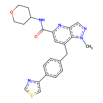 Cn1ncc2nc(C(=O)NC3CCOCC3)cc(Cc3ccc(-c4cscn4)cc3)c21